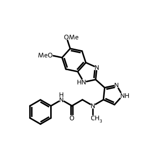 COc1cc2nc(-c3n[nH]cc3N(C)CC(=O)Nc3ccccc3)[nH]c2cc1OC